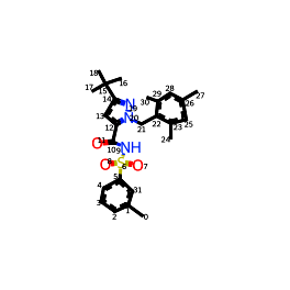 Cc1cccc(S(=O)(=O)NC(=O)c2cc(C(C)(C)C)nn2Cc2c(C)cc(C)cc2C)c1